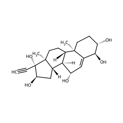 C#C[C@]1(O)[C@H](O)C[C@H]2[C@@H]3[C@@H](O)C=C4[C@H](O)[C@@H](O)CC[C@]4(C)[C@H]3CC[C@@]21C